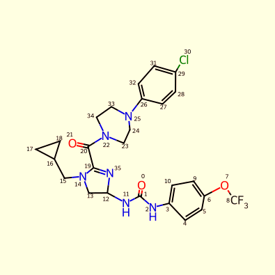 O=C(Nc1ccc(OC(F)(F)F)cc1)NC1CN(CC2CC2)C(C(=O)N2CCN(c3ccc(Cl)cc3)CC2)=N1